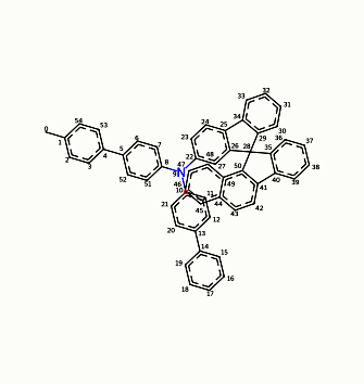 Cc1ccc(-c2ccc(N(c3ccc(-c4ccccc4)cc3)c3ccc4c(c3)C3(c5ccccc5-4)c4ccccc4-c4ccc5ccccc5c43)cc2)cc1